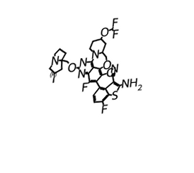 C[C@H]1CN2CCCC2(COc2nc3c4c(c(Cl)c(-c5ccc(F)c6sc(N)c(C#N)c56)c(F)c4n2)OCC2CC(OC(F)F)CCN32)C1